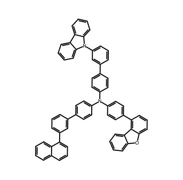 c1cc(-c2ccc(N(c3ccc(-c4cccc(-n5c6ccccc6c6ccccc65)c4)cc3)c3ccc(-c4cccc5oc6ccccc6c45)cc3)cc2)cc(-c2cccc3ccccc23)c1